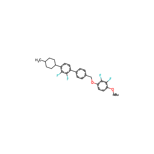 CCCCOc1ccc(OCc2ccc(-c3ccc(C4CCC(C)CC4)c(F)c3F)cc2)c(F)c1F